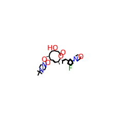 C/C(=C\c1cc(F)cc(N2CCOCC2)c1)[C@H]1OC(=O)C[C@H](O)CC[C@H](C)[C@H](OC(=O)N2CCN(C(C)(C)C)CC2)/C=C/[C@@H]1C